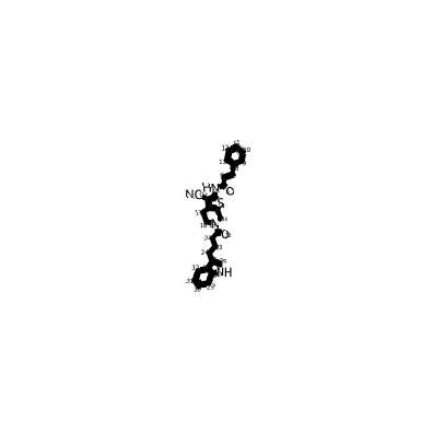 N#Cc1c(NC(=O)/C=C/c2ccccc2)sc2c1CCN(C(=O)CCCc1c[nH]c3ccccc13)C2